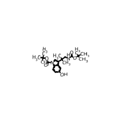 CC(C)(C)OC(=O)NCC(C)(C)c1cn(C(=O)OC(C)(C)C)c2ccc(O)cc12